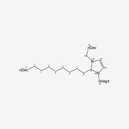 CCCCCCCCCCCCCCCCCCC1N(CCCCCCC)C=CN1CCCCCCCCCCC